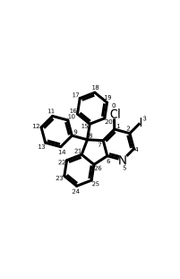 Clc1c(I)cnc2c1C(c1ccccc1)(c1ccccc1)c1ccccc1-2